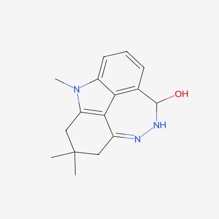 Cn1c2c3c4c(cccc41)C(O)NN=C3CC(C)(C)C2